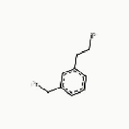 CC(C)CCc1cccc(CC(C)C)c1